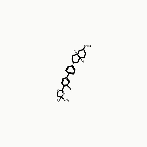 CCCCCCC1CC[C@@H]2C[C@H](c3ccc(-c4ccc(C5=NC(C)(C)CO5)c(F)c4)cc3)CC[C@@H]2C1